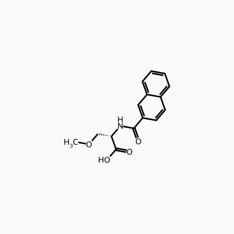 COC[C@H](NC(=O)c1ccc2ccccc2c1)C(=O)O